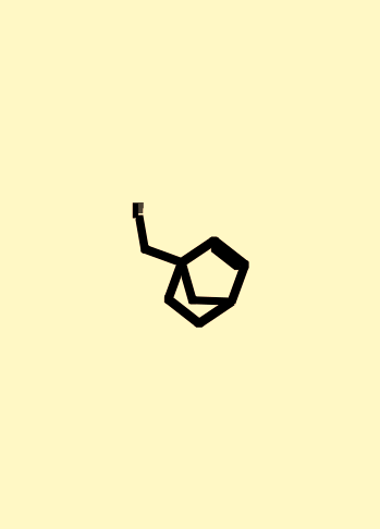 FCC12C=CC(CC1)C2